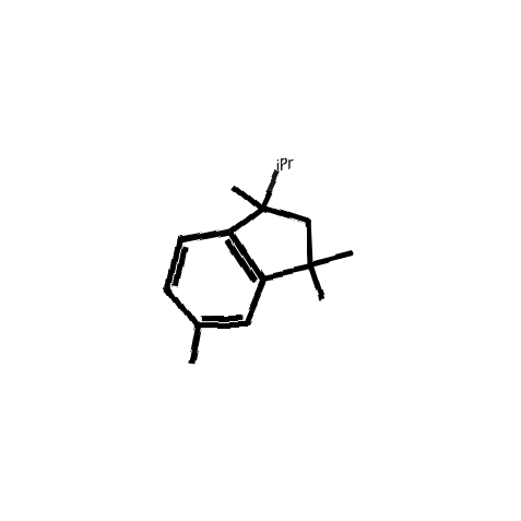 Cc1ccc2c(c1)C(C)(C)CC2(C)C(C)C